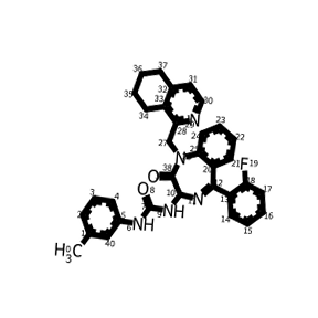 Cc1cccc(NC(=O)NC2N=C(c3ccccc3F)c3ccccc3N(Cc3nccc4c3CCCC4)C2=O)c1